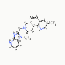 COc1cc(C(F)(F)F)cnc1C1CCN(Cc2nc3ncccc3n2C)CC1